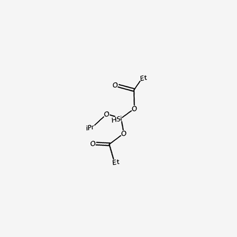 CCC(=O)O[SiH](OC(=O)CC)OC(C)C